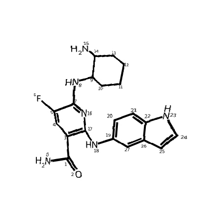 NC(=O)c1cc(F)c(NC2CCCCC2N)nc1Nc1ccc2[nH]ccc2c1